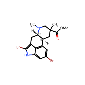 COC(=O)C1(C)C[C@H]2c3cc(Br)cc4[nH]c(Br)c(c34)C[C@@H]2N(C)C1